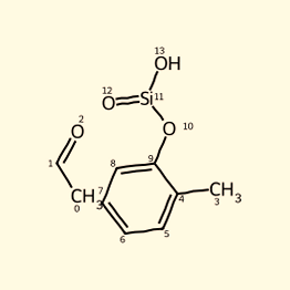 CC=O.Cc1ccccc1O[Si](=O)O